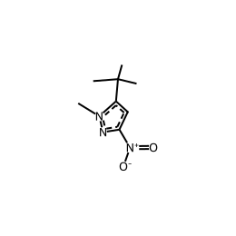 Cn1nc([N+](=O)[O-])cc1C(C)(C)C